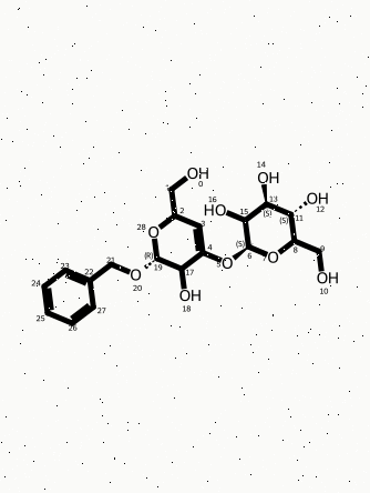 OCC1C=C(O[C@@H]2OC(CO)[C@@H](O)[C@H](O)C2O)C(O)[C@H](OCc2ccccc2)O1